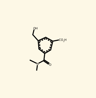 CN(C)C(=O)c1cc(CO)cc(C(=O)O)c1